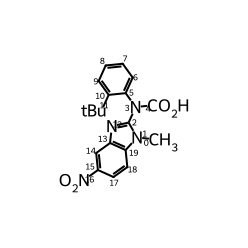 Cn1c(N(C(=O)O)c2ccccc2C(C)(C)C)nc2cc([N+](=O)[O-])ccc21